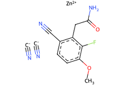 COc1ccc(C#N)c(CC(N)=O)c1F.[C-]#N.[C-]#N.[Zn+2]